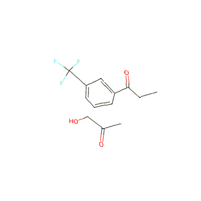 CC(=O)CO.CCC(=O)c1cccc(C(F)(F)F)c1